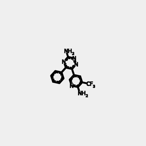 Nc1nnc(-c2cnc(N)c(C(F)(F)F)c2)c(-c2ccccc2)n1